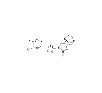 O=C1OC2(CN3CCC2CC3)CN1c1ccc(-c2ccc(Cl)c(Cl)c2)s1